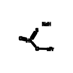 CCCO[SH](=O)=S.[NaH]